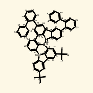 CC(C)(C)c1ccc2c(c1)c1cc(C(C)(C)C)cc3c1n2-c1cccc2c1B3n1c3ccc(-c4ccccc4-c4ccccc4)cc3c3cc(-c4ccccc4-c4ccccc4)cc-2c31